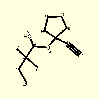 C#CC1(OC(O)C(C)(C)CC)CCCC1